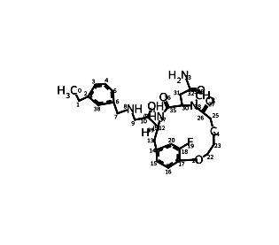 CCc1cccc(CNC[C@@H](O)[C@@H]2Cc3ccc(c(F)c3)OCCCCC(=O)N(C)C(CC(N)=O)C(=O)N2)c1